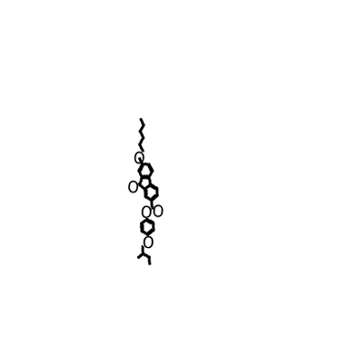 CCCCCCOc1ccc2c(c1)C(=O)c1cc(C(=O)Oc3ccc(OCC(C)CC)cc3)ccc1-2